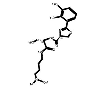 CC(=O)N(O)CCCCNC(=O)[C@H](CO)NC(=O)[C@@H]1COC(c2cccc(O)c2O)=N1